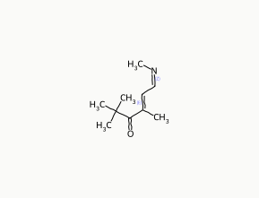 C/N=C\C=C(/C)C(=O)C(C)(C)C